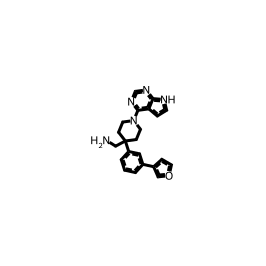 NCC1(c2cccc(-c3ccoc3)c2)CCN(c2ncnc3[nH]ccc23)CC1